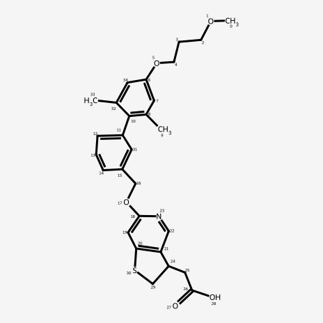 COCCCOc1cc(C)c(-c2cccc(COc3cc4c(cn3)C(CC(=O)O)CS4)c2)c(C)c1